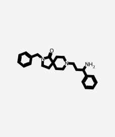 NC(CCN1CCC2(CC1)CCN(Cc1ccccc1)C2=O)c1ccccc1